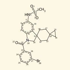 CS(=O)(=O)Nc1ccc2c(c1)C1(CCC3(CC3)CC1)CN2C(=O)c1cccc(Br)c1